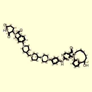 C[C@@]1(O)CC/C=C\Cn2c(=O)c3cnc(Nc4ccc(N5CCN(C6CCN(CC7CCN(c8ccc9c(c8)CN(C8CCC(=O)NC8=O)C9=O)CC7)CC6)CC5)cc4)nc3n2-c2cccc1n2